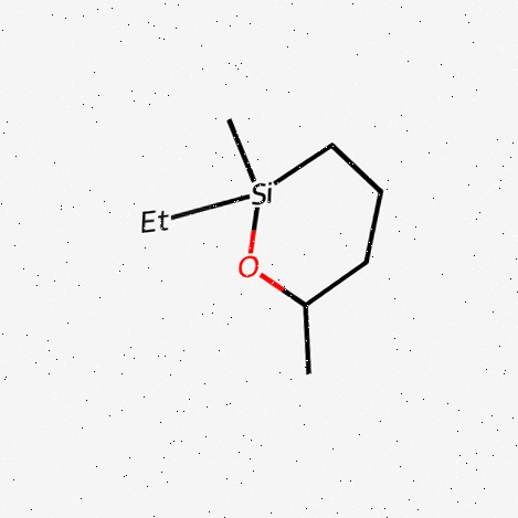 CC[Si]1(C)CCCC(C)O1